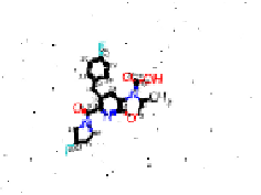 CC1COc2nc(C(=O)N3CCC(F)C3)c(Cc3ccc(F)cc3)cc2N1C(=O)O